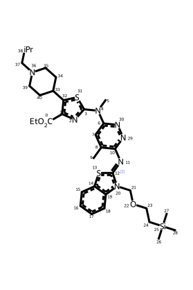 CCOC(=O)c1nc(N(C)c2cc(C)c(/N=c3\sc4ccccc4n3COCC[Si](C)(C)C)nn2)sc1C1CCN(CC(C)C)CC1